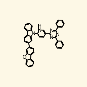 C1=CC(n2c3ccccc3c3ccc(-c4ccc5c(c4)oc4ccccc45)cc32)NC=C1c1nc(-c2ccccc2)nc(-c2ccccc2)n1